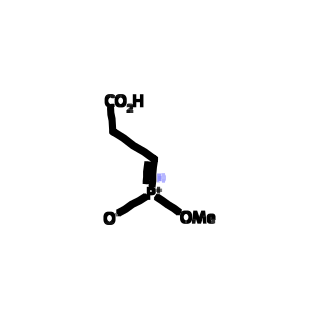 CO/[P+]([O-])=C/CC(=O)O